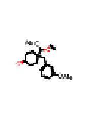 C=C.COC(=O)C1(Cc2cccc(OC)c2)CCC(=O)CC1